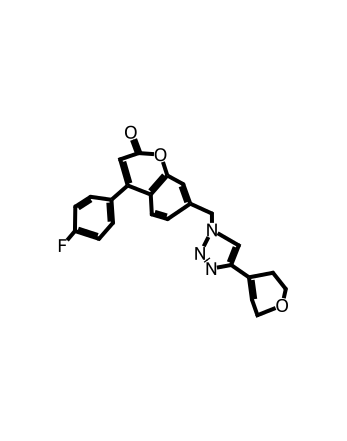 O=c1cc(-c2ccc(F)cc2)c2ccc(Cn3cc(C4=CCOCC4)nn3)cc2o1